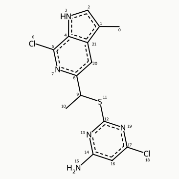 Cc1c[nH]c2c(Cl)nc(C(C)Sc3nc(N)cc(Cl)n3)cc12